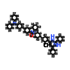 Cc1cc(-c2ccc([N+]3([O-])c4ccccc4-c4cc(-c5ccc(N(c6ccccc6)c6ccccc6)cc5)ccc43)cc2)ccc1C1CC(c2ccccc2)NC(c2ccccc2)N1